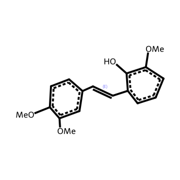 COc1ccc(/C=C/c2cccc(OC)c2O)cc1OC